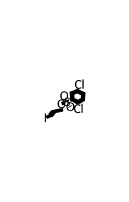 O=S(=O)(OCC#CI)c1cc(Cl)ccc1Cl